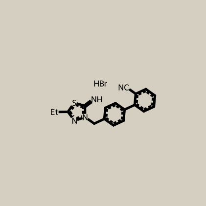 Br.CCc1nn(Cc2ccc(-c3ccccc3C#N)cc2)c(=N)s1